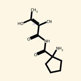 C/C(O)=C(\C#N)C(=O)NC(=O)C1(N)CCCC1